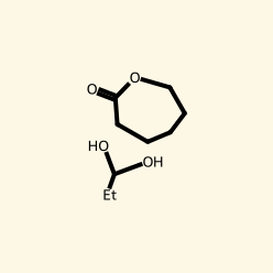 CCC(O)O.O=C1CCCCCO1